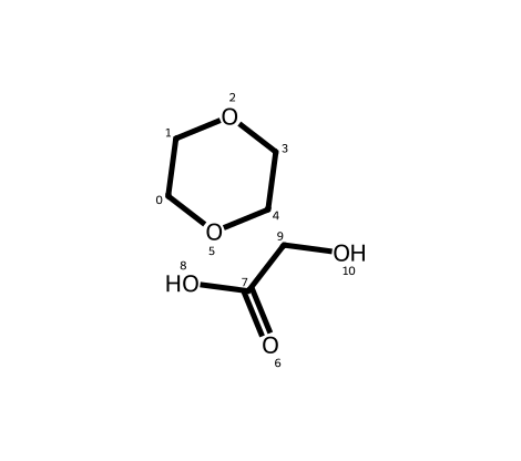 C1COCCO1.O=C(O)CO